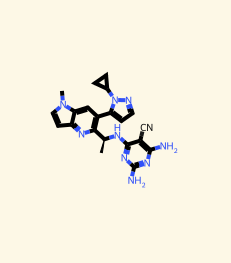 C[C@H](Nc1nc(N)nc(N)c1C#N)c1nc2ccn(C)c2cc1-c1ccnn1C1CC1